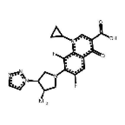 N[C@@H]1CN(c2c(F)cc3c(=O)c(C(=O)O)cn(C4CC4)c3c2F)C[C@@H]1n1ccnn1